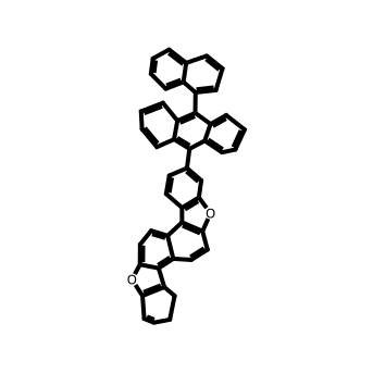 C1=Cc2oc3ccc4c(ccc5oc6cc(-c7c8ccccc8c(-c8cccc9ccccc89)c8ccccc78)ccc6c54)c3c2CC1